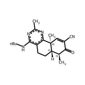 CCCCNc1nc(C)nc2c1CC[C@H]1[C@H](C)C(=O)C(C#N)=C[C@]21C